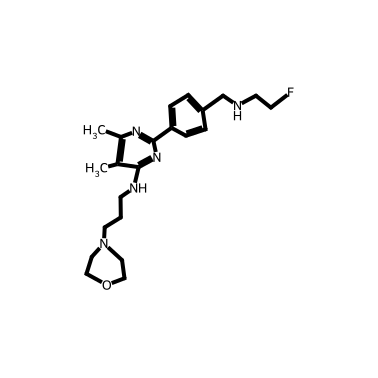 Cc1nc(-c2ccc(CNCCF)cc2)nc(NCCCN2CCOCC2)c1C